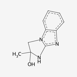 CC1(O)Cn2c(nc3ccccc32)N1